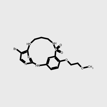 COCCOc1ccc2cc1S(=O)(=O)NCCCNc1nc(ncc1Br)N2